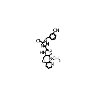 CN1C(=S)[C@@H](NC(=O)c2nc(Cl)n(Cc3cccc(C#N)c3)n2)COc2cccnc21